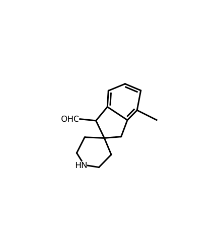 Cc1cccc2c1CC1(CCNCC1)C2C=O